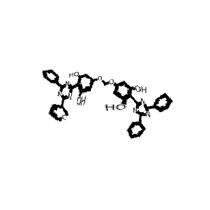 Oc1cc(OCOc2cc(O)c(-c3nc(-c4ccccc4)nc(-c4ccccc4)n3)c(O)c2)cc(O)c1-c1nc(-c2ccccc2)nc(-c2ccccc2)n1